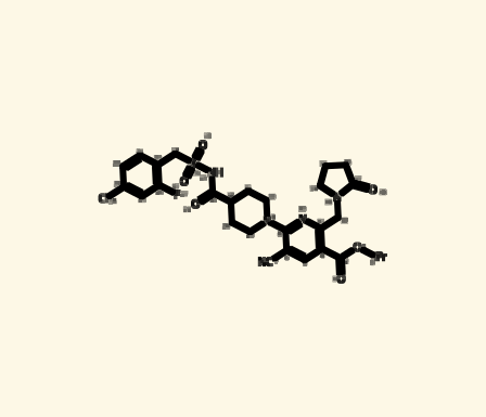 CC(C)OC(=O)c1cc(C#N)c(N2CCC(C(=O)NS(=O)(=O)Cc3ccc(Cl)cc3F)CC2)nc1CN1CCCC1=O